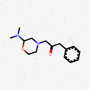 CN(C)C1CN(CC(=O)Cc2ccccc2)CCO1